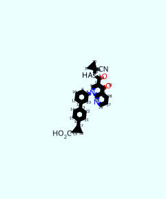 N#CC1([AsH]C(=O)c2cn(-c3cccc(-c4ccc(C5C[C@H]5C(=O)O)cc4)c3)c3ncccc3c2=O)CC1